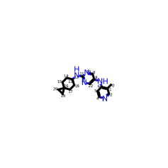 Cc1cnccc1Nc1cnc(NC2CCC3(CC2)CC3)nc1